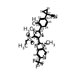 CCS(=O)(=O)c1c(-c2nc3cc(C(F)(F)F)ncc3n2C)nc(-c2ccc(C3(C#N)CC3)cc2C)n1C